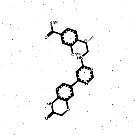 CNC(=O)c1ccc([C@H](C)CNc2cc(-c3ccc4c(c3)OCC(=O)N4)ncn2)c(OC)c1